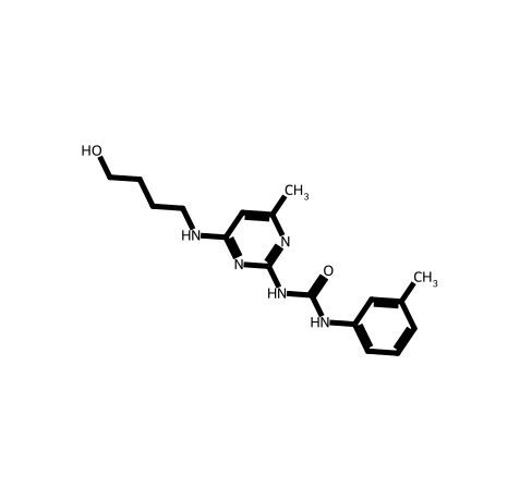 Cc1cccc(NC(=O)Nc2nc(C)cc(NCCCCO)n2)c1